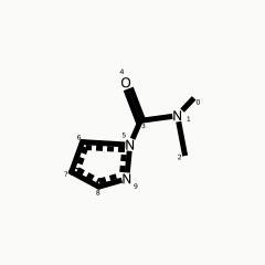 CN(C)C(=O)n1cccn1